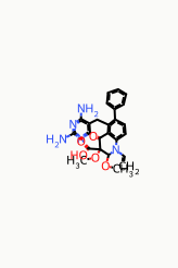 C=CN1c2ccc(-c3ccccc3)c(Cc3cnc(N)nc3N)c2C(=O)C(OC)(C(=O)O)C1OC